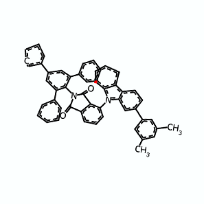 Cc1cc(C)cc(-c2ccc3c4ccccc4n(-c4cccc5c4C(=O)N(c4c(-c6ccccc6)cc(-c6ccccc6)cc4-c4ccccc4)C5=O)c3c2)c1